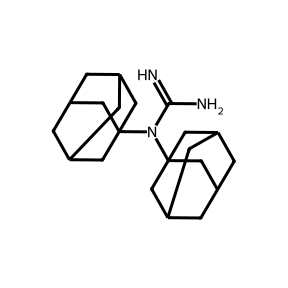 N=C(N)N(C12CC3CC(CC(C3)C1)C2)C12CC3CC(CC(C3)C1)C2